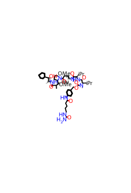 CC[C@H](C)[C@@H]([C@@H](CC(=O)N1CCCC1[C@H](OC)C(C)C(=O)N[C@H](C)[C@@H](O)c1ccccc1)OC)N(C)C(=O)[C@H](NC(=O)C(C(C)C)N(C)C(=O)OCc1ccc(NC(=O)CCCCNC(N)=O)cc1)C(C)C